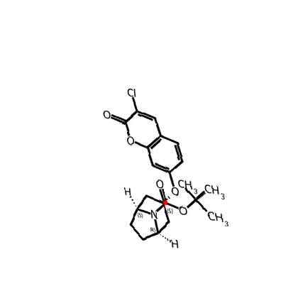 CC(C)(C)OC(=O)N1[C@@H]2CC[C@H]1C[C@H](Oc1ccc3cc(Cl)c(=O)oc3c1)C2